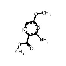 COC(=O)c1ncc(OC)nc1N